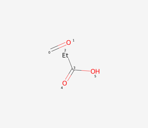 C=O.CCC(=O)O